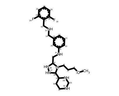 COCCCN1C(CNc2cccc(CNCc3c(F)cccc3F)c2)NNC1C1CCNCN1